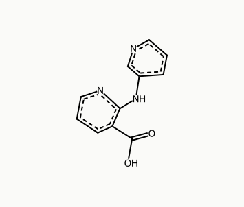 O=C(O)c1cccnc1Nc1cccnc1